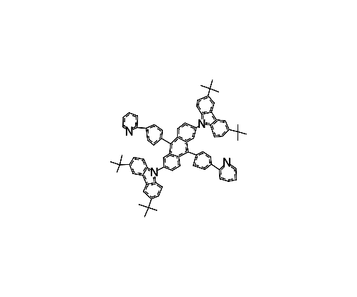 CC(C)(C)c1ccc2c(c1)c1cc(C(C)(C)C)ccc1n2-c1ccc2c(-c3ccc(-c4ccccn4)cc3)c3cc(-n4c5ccc(C(C)(C)C)cc5c5cc(C(C)(C)C)ccc54)ccc3c(-c3ccc(-c4ccccn4)cc3)c2c1